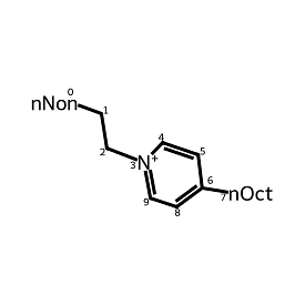 CCCCCCCCCCC[n+]1ccc(CCCCCCCC)cc1